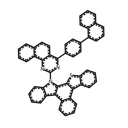 c1ccc2c(-c3ccc(-c4nc(-n5c6ccccc6c6c7ccccc7c7c8ccccc8sc7c65)nc5c4ccc4ccccc45)cc3)cccc2c1